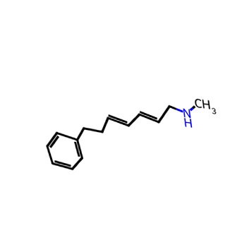 CNC/C=C/C=C/CCc1ccccc1